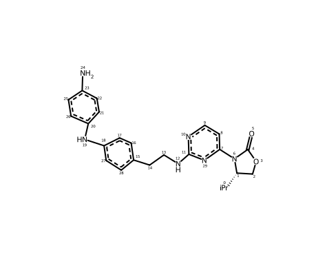 CC(C)[C@H]1COC(=O)N1c1ccnc(NCCc2ccc(Nc3ccc(N)cc3)cc2)n1